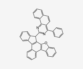 c1ccc(-c2nc(C3c4ccccc4-c4c3c3oc5ccccc5c3c3ccccc43)nc3c2ccc2ccccc23)cc1